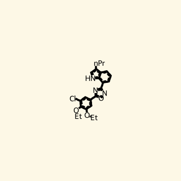 CCCc1c[nH]c2c(-c3noc(-c4cc(Cl)c(OCC)c(OCC)c4)n3)cccc12